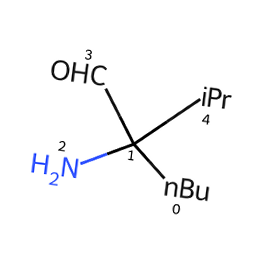 CCCCC(N)(C=O)C(C)C